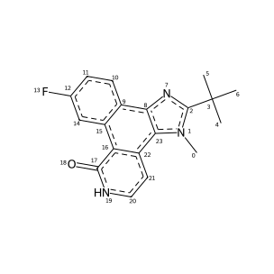 Cn1c(C(C)(C)C)nc2c3ccc(F)cc3c3c(=O)[nH]ccc3c21